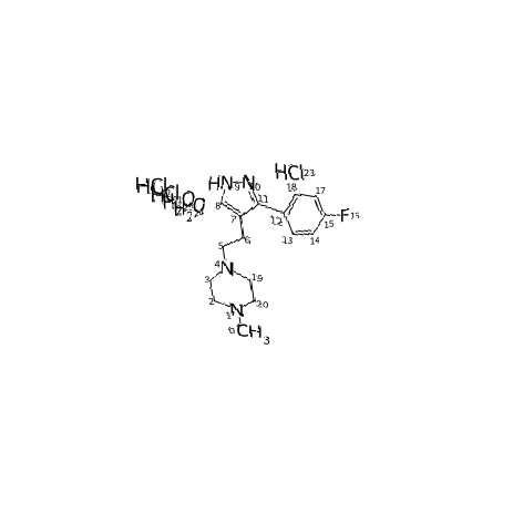 CN1CCN(CCc2c[nH]nc2-c2ccc(F)cc2)CC1.Cl.Cl.Cl.O.O